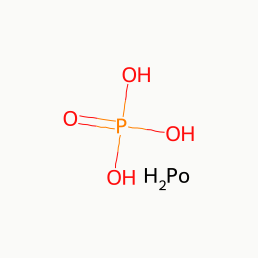 O=P(O)(O)O.[PoH2]